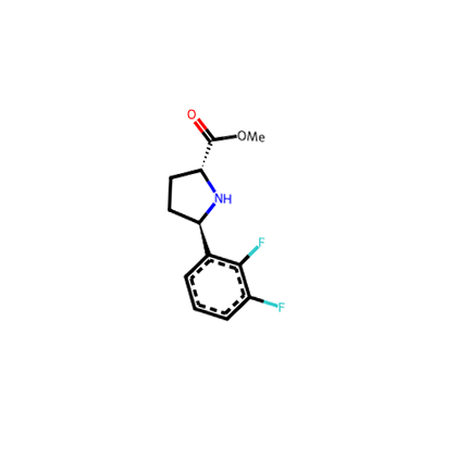 COC(=O)[C@H]1CC[C@H](c2cccc(F)c2F)N1